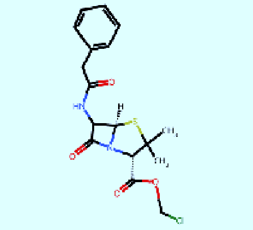 CC1(C)S[C@@H]2C(NC(=O)Cc3ccccc3)C(=O)N2[C@H]1C(=O)OCCl